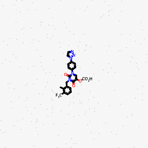 Cc1c(Cn2c(=O)c(OC(=O)O)cn(-c3ccc(-n4ccnn4)cc3)c2=O)cccc1C(F)(F)F